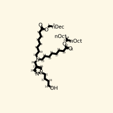 CCCCCCCCCCCOC(=O)CCCCCCCN(CCCCCCCC(=O)OC(CCCCCCCC)CCCCCCCC)Cc1cnn(CCCCO)c1